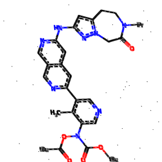 Cc1c(-c2cc3cc(Nc4cc5n(n4)CC(=O)N(C(C)C)CC5)ncc3cn2)cncc1N(OC(=O)C(C)(C)C)C(=O)OC(C)(C)C